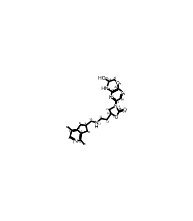 Cc1cnc(C)c2c1CC(CNCCC1CN(c3cnc4c(n3)NC(O)CO4)C(=O)O1)C2